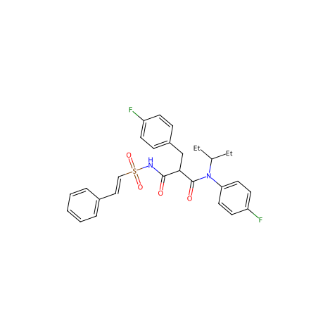 CCC(CC)N(C(=O)C(Cc1ccc(F)cc1)C(=O)NS(=O)(=O)C=Cc1ccccc1)c1ccc(F)cc1